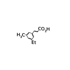 CCc1cc(C)cc(/C=C/C(=O)O)c1